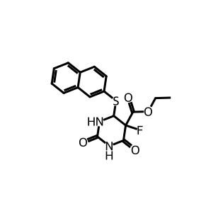 CCOC(=O)C1(F)C(=O)NC(=O)NC1Sc1ccc2ccccc2c1